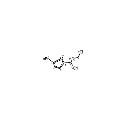 CCCc1ccc(C(C#N)NCCl)o1